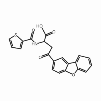 O=C(CC(NC(=O)c1cccs1)C(=O)O)c1ccc2oc3ccccc3c2c1